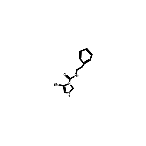 CC(C)(C)C1=CNCN1C(=O)NCCc1ccccc1